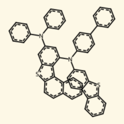 c1ccc(-c2ccc(N(c3ccc4c(c3)sc3ccccc34)c3cc(N(c4ccccc4)c4ccccc4)cc4sc5ccc6ccccc6c5c34)cc2)cc1